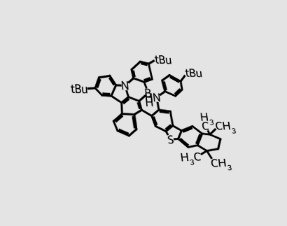 CC(C)(C)c1ccc(Nc2cc3c(cc2-c2c4c5c(c6ccccc26)c2cc(C(C)(C)C)ccc2n5-c2ccc(C(C)(C)C)cc2B4)sc2cc4c(cc23)C(C)(C)CCC4(C)C)cc1